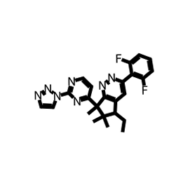 CCC1c2cc(-c3c(F)cccc3F)nnc2C(C)(c2ccnc(-n3ccnn3)n2)C1(C)C